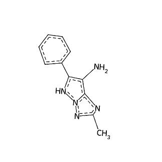 Cc1nc2c(N)c(-c3ccccc3)[nH]n2n1